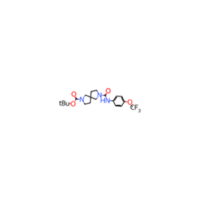 CC(C)(C)OC(=O)N1CCC2(CCN(C(=O)Nc3ccc(OC(F)(F)F)cc3)C2)C1